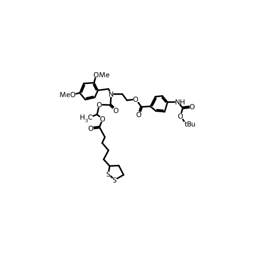 COc1ccc(CN(CCOC(=O)c2ccc(NC(=O)OC(C)(C)C)cc2)C(=O)OC(C)OC(=O)CCCCC2CCSS2)c(OC)c1